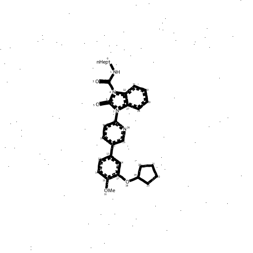 CCCCCCCNC(=O)n1c(=O)n(-c2ccc(-c3ccc(OC)c(OC4CCCC4)c3)cn2)c2ccccc21